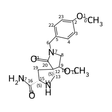 COc1ccc(CN2CC(OC)[C@]3(CN[C@H](C(N)=O)C3)C2=O)cc1